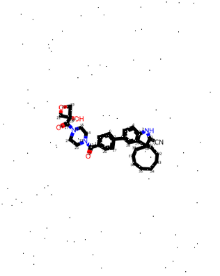 N#CC1Nc2ccc(-c3ccc(C(=O)N4CCN(C(=O)C5(O)COC5)CC4)cc3)cc2C12CCCCCCCC2